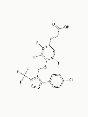 O=C(O)CCc1cc(F)c(OCc2c(-c3ccc(Cl)cc3)csc2C(F)(F)F)c(F)c1F